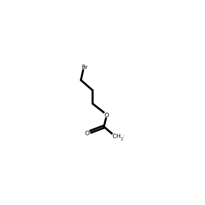 [CH2]C(=O)OCCCBr